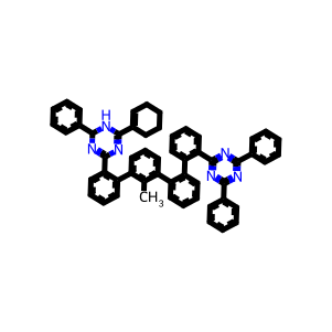 Cc1c(-c2ccccc2C2=NC(c3ccccc3)NC(C3=CCCCC3)=N2)cccc1-c1ccccc1-c1ccccc1-c1nc(-c2ccccc2)nc(-c2ccccc2)n1